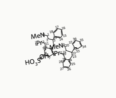 CNCCC(Cc1ccccc1CC(C)C)c1ccccc1.CNCCC(Cc1ccccc1CC(C)C)c1ccccc1.O=S(=O)(O)O